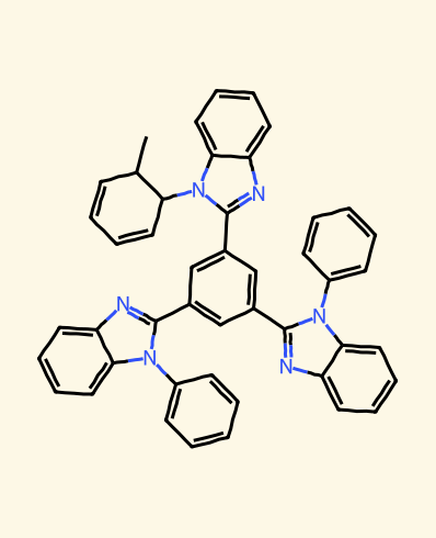 CC1C=CC=CC1n1c(-c2cc(-c3nc4ccccc4n3-c3ccccc3)cc(-c3nc4ccccc4n3-c3ccccc3)c2)nc2ccccc21